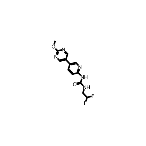 COc1ncc(-c2ccc(NC(=O)NCC(F)F)nc2)cn1